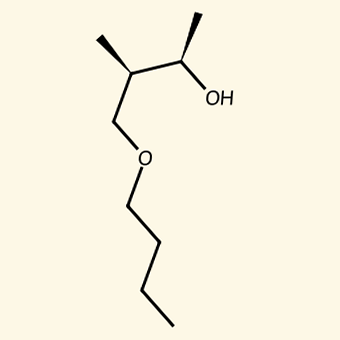 CCCCOC[C@@H](C)[C@@H](C)O